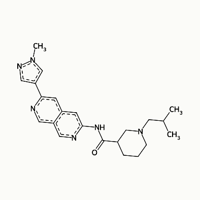 CC(C)CN1CCCC(C(=O)Nc2cc3cc(-c4cnn(C)c4)ncc3cn2)C1